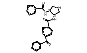 O=C(N[C@H]1CNC[C@@H]1NC(=O)c1ccc(C(=O)c2ccccc2)cc1)c1ccncc1